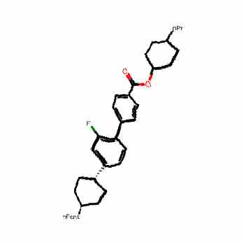 CCCCC[C@H]1CC[C@H](c2ccc(-c3ccc(C(=O)OC4CCC(CCC)CC4)cc3)c(F)c2)CC1